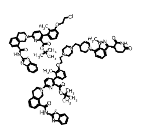 Cc1c(OCCCl)cccc1-c1ccc(N2CCc3cccc(C(=O)Nc4nc5ccccc5s4)c3C2)nc1C(=O)OC(C)(C)C.Cc1c(OCCN2CCN(CC3CCN(c4cccc5c(C6CCC(=O)NC6=O)nn(C)c45)CC3)CC2)cccc1-c1ccc(N2CCc3cccc(C(=O)Nc4nc5ccccc5s4)c3C2)nc1C(=O)OC(C)(C)C